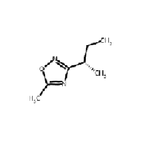 CC[C@H](C)c1noc(C)n1